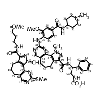 COCCCNC(=O)c1nn(C)c2c1CCCc1cnc(SC)nc1-2.COc1cc(C(=O)NC2CCN(C)CC2)ccc1Nc1ncc2c(n1)-c1c(c(C(=O)N[C@H](CNC(=O)O)c3ccccc3)nn1C)CCC2